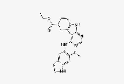 CCOC(=O)C1CCc2[nH]c3ncnc(Nc4cc5cn[nH]c5cc4OC)c3c2C1